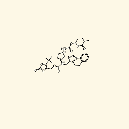 CC(OC(=O)N[C@H]1CCN([C@@H](Cc2ncn3c2CCc2ccccc2-3)C(=O)OCc2oc(=O)oc2C(C)(C)C)C1)OC(=O)C(C)C